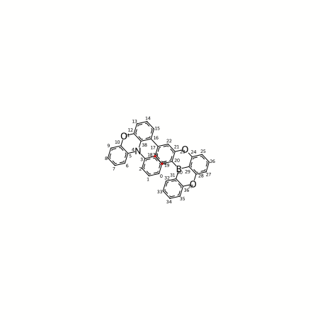 c1ccc(N2c3ccccc3Oc3cccc(-c4ccc5c(c4)Oc4cccc6c4B5c4ccccc4O6)c32)cc1